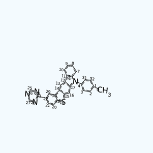 Cc1ccc(-n2c3ccccc3c3cc4c(cc32)sc2ccc(-c3ncncn3)cc24)cc1